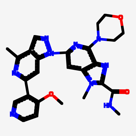 CNC(=O)c1nc2c(N3CCOCC3)nc(-n3ncc4c(C)nc(-c5cnccc5OC)cc43)cc2n1C